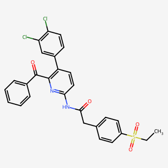 CCS(=O)(=O)c1ccc(CC(=O)Nc2ccc(-c3ccc(Cl)c(Cl)c3)c(C(=O)c3ccccc3)n2)cc1